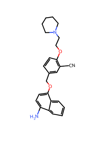 N#Cc1cc(COc2ccc(N)c3ccccc23)ccc1OCCN1CCCCC1